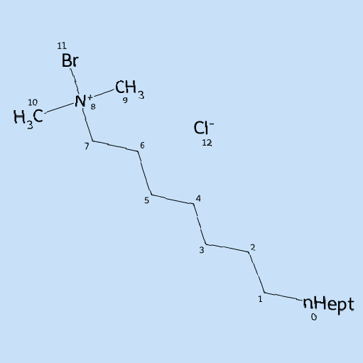 CCCCCCCCCCCCCC[N+](C)(C)Br.[Cl-]